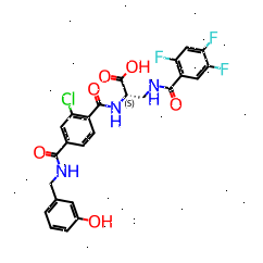 O=C(NCc1cccc(O)c1)c1ccc(C(=O)N[C@@H](CNC(=O)c2cc(F)c(F)cc2F)C(=O)O)c(Cl)c1